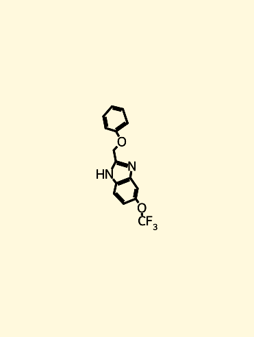 FC(F)(F)Oc1ccc2[nH]c(COc3ccccc3)nc2c1